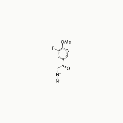 COc1ncc(C(=O)C=[N+]=[N-])cc1F